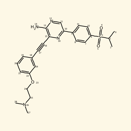 CC(C)S(=O)(=O)c1ccc(-c2cnc(N)c(C#Cc3cccc(OCCN(C)C)c3)n2)cc1